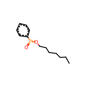 CCCCCCCO[PH](=O)c1ccccc1